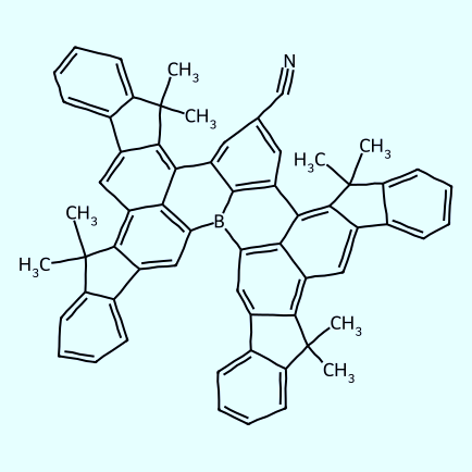 CC1(C)c2ccccc2-c2cc3c4c(cc5c3c(c21)-c1cc(C#N)cc2c1B5c1cc3c(c5cc6c(c-2c15)C(C)(C)c1ccccc1-6)C(C)(C)c1ccccc1-3)-c1ccccc1C4(C)C